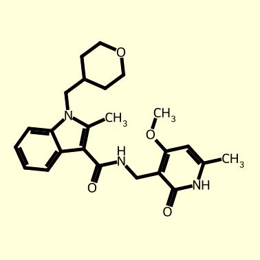 COc1cc(C)[nH]c(=O)c1CNC(=O)c1c(C)n(CC2CCOCC2)c2ccccc12